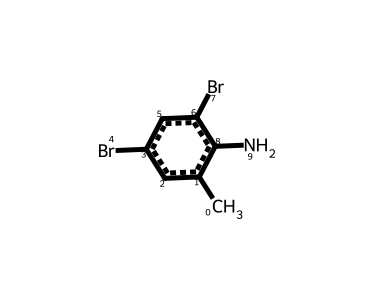 Cc1cc(Br)cc(Br)c1N